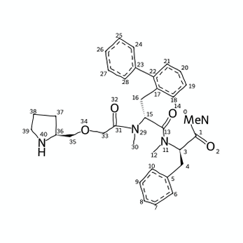 CNC(=O)[C@@H](Cc1ccccc1)N(C)C(=O)[C@@H](Cc1ccccc1-c1ccccc1)N(C)C(=O)COC[C@@H]1CCCN1